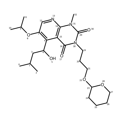 CC(C)CC(O)c1c(OC(C)C)cnc2c1c(=O)n(CCCOC1CCCCO1)c(=O)n2C